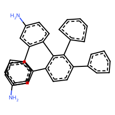 Nc1ccc(-c2cc(N)ccc2-c2c(-c3ccccc3)ccc(-c3ccccc3)c2-c2ccccc2)cc1